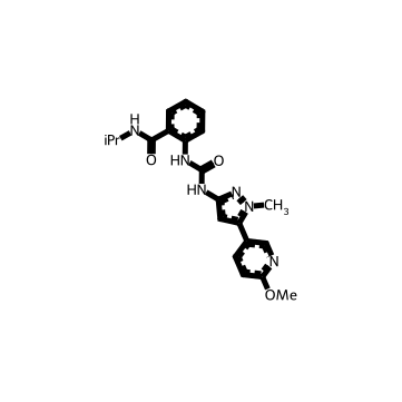 COc1ccc(-c2cc(NC(=O)Nc3ccccc3C(=O)NC(C)C)nn2C)cn1